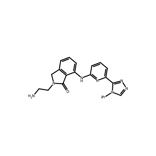 CC(C)n1cnnc1-c1cccc(Nc2cccc3c2C(=O)N(CCN)C3)n1